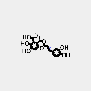 C[C@@H](OC(=O)/C=C/c1ccc(O)c(O)c1)c1ccc(O)c(O)c1C(=O)O